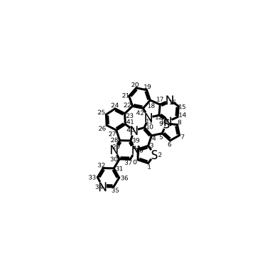 c1csc(C(c2cccs2)=c2n3c4nccnc4c4cccc(c5cccc6c7nc(-c8ccncc8)cnc7n2c56)c43)c1